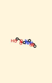 O=C(OCCc1cccc(O)c1)c1ccc2[nH]c(-c3cccc4c3[nH]c(=O)n4CC3CC4=C(C=CCC4)O3)nc2c1